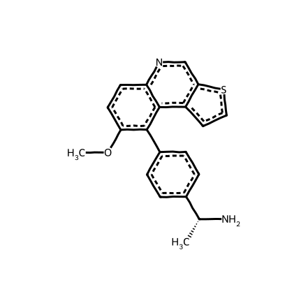 COc1ccc2ncc3sccc3c2c1-c1ccc([C@@H](C)N)cc1